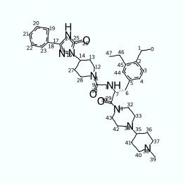 CCc1ccc(C[C@@H](NC(=O)N2CCC(n3nc(-c4ccccc4)[nH]c3=O)CC2)C(=O)N2CCN(C3CCN(C)CC3)CC2)cc1CC